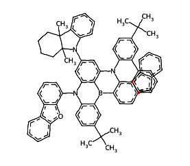 CC(C)(C)c1ccc2c(c1)B1c3ccc4sc5ccccc5c4c3N(c3ccc(C(C)(C)C)cc3-c3ccccc3)c3cc(N4c5ccccc5C5(C)CCCCC45C)cc(c31)N2c1cccc2c1oc1ccccc12